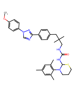 Cc1cc(C)c(N2CCCSC2NC(=O)NCC(C)(C)Cc2ccc(-c3ncn(-c4ccc(OC(F)(F)F)cc4)n3)cc2)c(C)c1